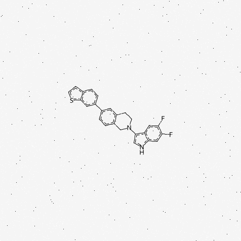 Fc1cc2[nH]cc(N3CCc4cc(-c5ccc6ccsc6c5)ccc4C3)c2cc1F